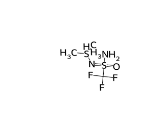 C[SH](C)N=S(N)(=O)C(F)(F)F